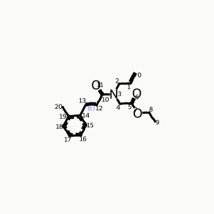 C=CCN(CC(=O)OCC)C(=O)/C=C/c1ccccc1C